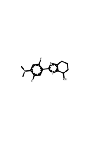 CN(C)c1cc(F)c(-c2nc3c(s2)C(O)CCC3)cc1F